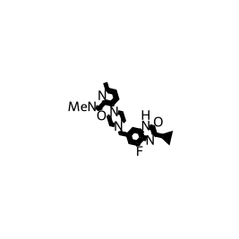 CNC(=O)c1nc(C)ccc1N1CCN(Cc2cc(F)c3nc(C4CC4)c(=O)[nH]c3c2)CC1